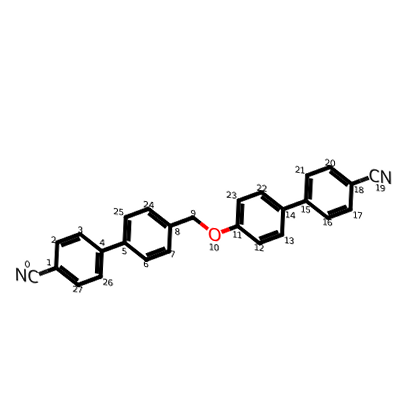 N#Cc1ccc(-c2ccc(COc3ccc(-c4ccc(C#N)cc4)cc3)cc2)cc1